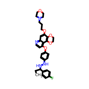 CCC(NNc1ccc(Oc2ccnc3cc(OCCCN4CCOCC4)c4c(c23)OCCO4)cc1)c1ccc(F)cc1